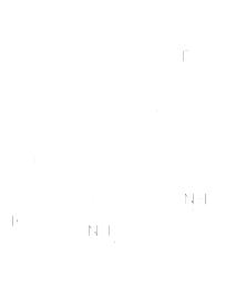 CCc1c(F)ccc2[nH]cc(C[C@H](N)C(=O)O)c12